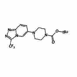 CC(C)(C)OC(=O)N1CCN(c2ccc3nnc(C(F)(F)F)n3c2)CC1